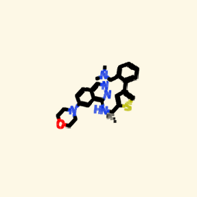 C[C@H](Nc1nncc2ccc(N3CCOCC3)cc12)c1cc(-c2ccccc2CN(C)C)cs1